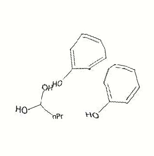 CCCC(O)O.Oc1ccccc1.Oc1ccccc1